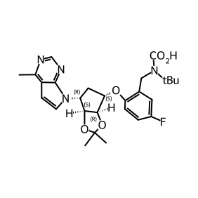 Cc1ncnc2c1ccn2[C@@H]1C[C@H](Oc2ccc(F)cc2CN(C(=O)O)C(C)(C)C)[C@H]2OC(C)(C)O[C@H]21